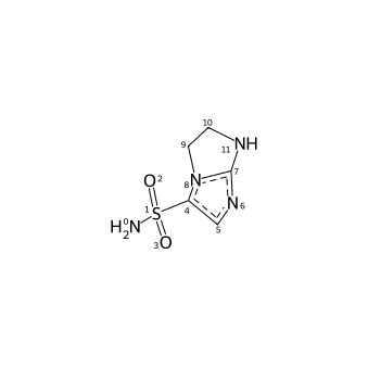 NS(=O)(=O)c1cnc2n1CCN2